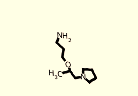 CC(CN1CCCC1)OCCCN